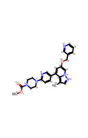 CC(C)(C)OC(=O)N1CCN(c2ccc(-c3cc(OCc4cccnc4)cn4ncc(C#N)c34)cn2)CC1